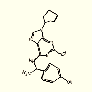 CC(Nc1nc(Cl)nc2c1ncn2C1CCCC1)c1ccc(O)cc1